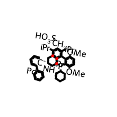 COc1ccc(OC)c(P(C2CCCCC2)C2CCCCC2)c1-c1c(C(C)C)cc(C(C)C)cc1C(C)C.CS(=O)(=O)O.Nc1ccccc1-c1[c-]cccc1.[Pd]